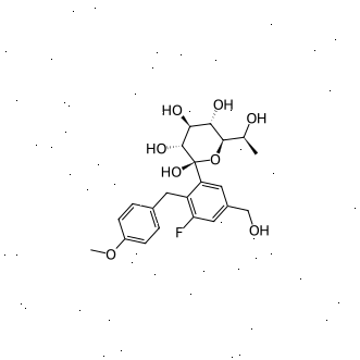 COc1ccc(Cc2c(F)cc(CO)cc2[C@@]2(O)O[C@H]([C@H](C)O)[C@@H](O)[C@H](O)[C@H]2O)cc1